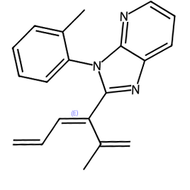 C=C/C=C(\C(=C)C)c1nc2cccnc2n1-c1ccccc1C